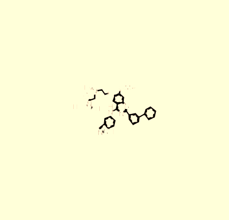 COc1cc2nc(-c3cccc(-c4ccccc4)c3)nc(Nc3ccc4[nH]ncc4c3)c2cc1OCCN(C)CC(=O)N(C)C